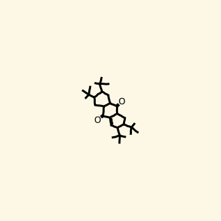 CC(C)(C)C1C=C2C(=O)C3CC(C(C)(C)C)C(C(C)(C)C)CC3C(=O)C2CC1C(C)(C)C